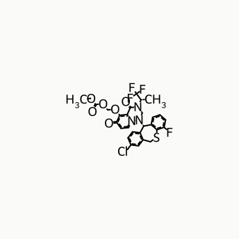 COC(=O)OCOc1c2n(ccc1=O)N([C@H]1c3ccc(Cl)cc3CSc3c(F)cccc31)CN([C@H](C)C(F)(F)F)C2=O